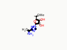 C=C(N)c1ncn([C@H]2O[C@@H](COC)[C@H](O)[C@@H]2O)n1